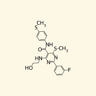 CSc1ccc(NC(=O)c2c(NCCO)nc(-c3cccc(F)c3)nc2SC)cc1